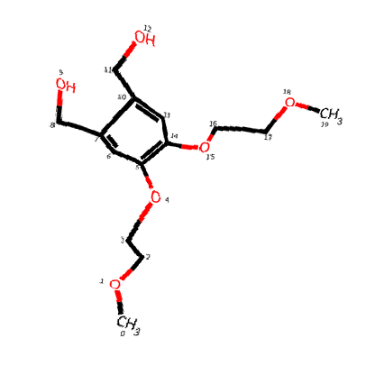 COCCOc1cc(CO)c(CO)cc1OCCOC